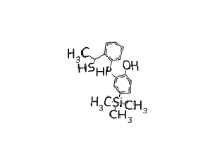 CC(S)c1ccccc1Pc1cc([Si](C)(C)C)ccc1O